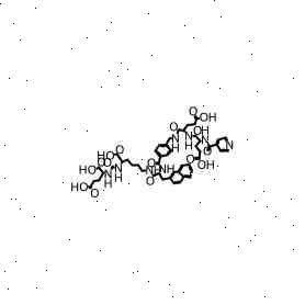 O=C(O)CCC(NC(=O)NC(CCCCNC(=O)C(Cc1ccc2ccccc2c1)NC(=O)c1ccc(CNC(=O)C(CCC(=O)O)NC(=O)C(CCC(=O)O)NC(=O)c2ccncc2)cc1)C(=O)O)C(=O)O